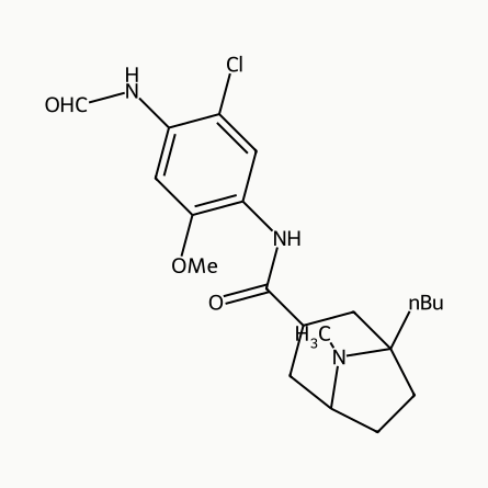 CCCCC12CCC(CC(C(=O)Nc3cc(Cl)c(NC=O)cc3OC)C1)N2C